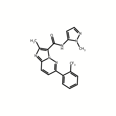 Cc1nc2ccc(-c3ccccc3C(F)(F)F)nn2c1C(=O)Nc1ccnn1C